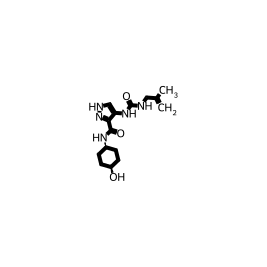 C=C(C)CNC(=O)Nc1c[nH]nc1C(=O)N[C@H]1CC[C@H](O)CC1